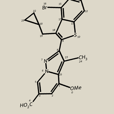 COc1cc(C(=O)O)cn2nc(-c3sc4cccc(Br)c4c3CC3CC3)c(C)c12